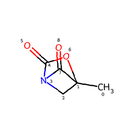 CC12CN(C(=O)O1)C2=O